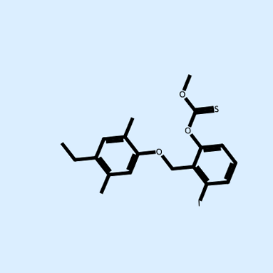 CCc1cc(C)c(OCc2c(I)cccc2OC(=S)OC)cc1C